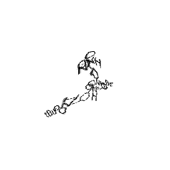 CC(C)(C)OC(=O)NCC1CCC(C(=O)N[C@@H](Cc2ccc(Br)cc2)C(=O)Nc2ccc(-c3noc(=O)[nH]3)cc2)CC1